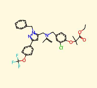 C=C(C)N(Cc1ccc(OC(C)(C)C(=O)OCC)c(Cl)c1)Cc1cc(-c2ccc(OC(F)(F)F)cc2)nn1Cc1ccccc1